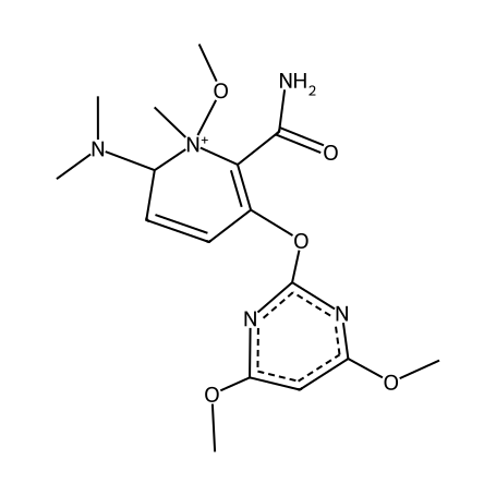 COc1cc(OC)nc(OC2=C(C(N)=O)[N+](C)(OC)C(N(C)C)C=C2)n1